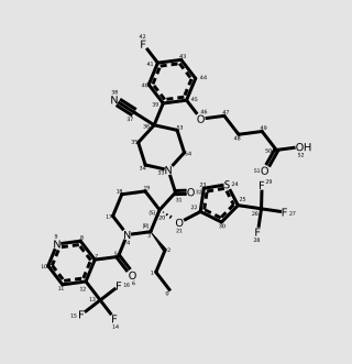 CCC[C@H]1N(C(=O)c2cnccc2C(F)(F)F)CCC[C@@]1(Oc1csc(C(F)(F)F)c1)C(=O)N1CCC(C#N)(c2cc(F)ccc2OCCCC(=O)O)CC1